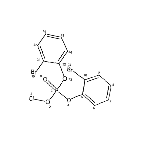 O=P(OCl)(Oc1ccccc1Br)Oc1ccccc1Br